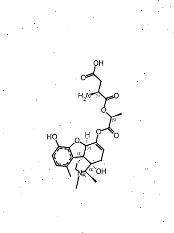 Cc1ccc(O)c2c1[C@]13CCN(C)[C@H](C)[C@]1(O)CC=C(OC(=O)[C@H](C)OC(=O)[C@@H](N)CC(=O)O)[C@@H]3O2